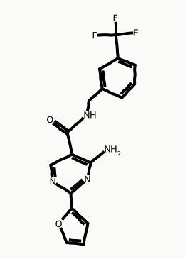 Nc1nc(-c2ccco2)ncc1C(=O)NCc1cccc(C(F)(F)F)c1